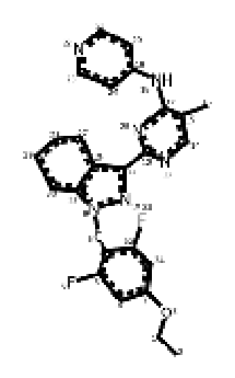 CCOc1cc(F)c(Cn2nc(-c3ncc(C)c(Nc4ccncc4)n3)c3ccccc32)c(F)c1